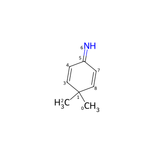 CC1(C)C=CC(=N)C=C1